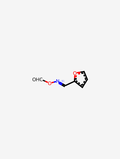 O=CO/N=C/c1ccco1